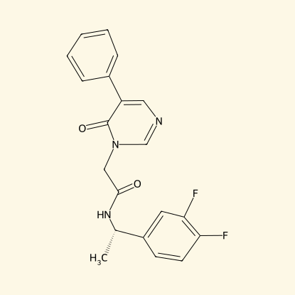 C[C@H](NC(=O)Cn1cncc(-c2ccccc2)c1=O)c1ccc(F)c(F)c1